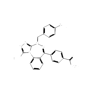 COC(=O)c1ccc(C2=NN(Cc3ccc([N+](=O)[O-])cc3)c3nnc(C)n3-c3ccccc32)cc1